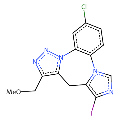 COCc1nnn2c1Cc1c(I)ncn1-c1ccc(Cl)cc1-2